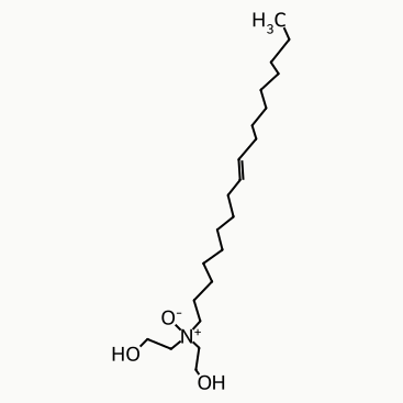 CCCCCCCCC=CCCCCCCCC[N+]([O-])(CCO)CCO